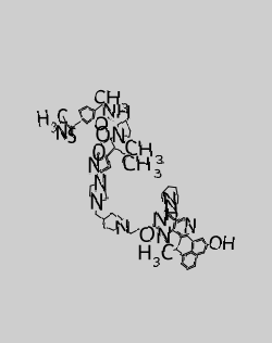 Cc1ncsc1-c1ccc([C@H](C)NC(=O)[C@@H]2CCCN2C(=O)C(c2cc(N3CCN(CC4CCN(CCOc5nc(N6CC7CCC(C6)N7)c6cnc7c(c6n5)C(C)c5cccc6cc(O)cc-7c56)CC4)CC3)no2)C(C)C)cc1